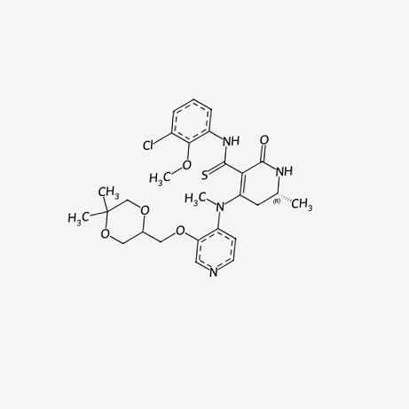 COc1c(Cl)cccc1NC(=S)C1=C(N(C)c2ccncc2OCC2COC(C)(C)CO2)C[C@@H](C)NC1=O